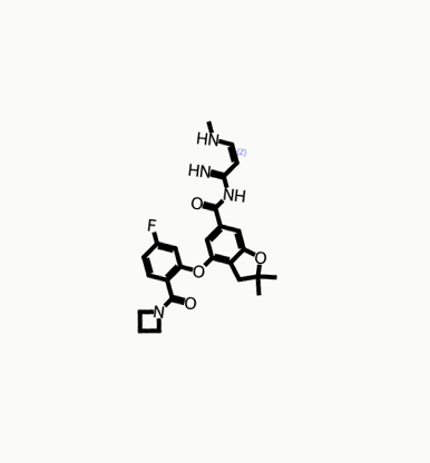 CN/C=C\C(=N)NC(=O)c1cc(Oc2cc(F)ccc2C(=O)N2CCC2)c2c(c1)OC(C)(C)C2